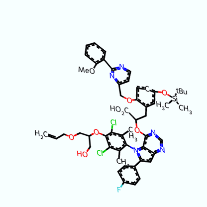 C=CCOCC(CO)Oc1c(Cl)c(C)c(-n2c(-c3ccc(F)cc3)cc3ncnc(OC(Cc4cc(O[Si](C)(C)C(C)(C)C)ccc4OCc4ccnc(-c5ccccc5OC)n4)C(=O)O)c32)c(C)c1Cl